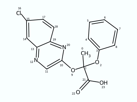 CC(Oc1ccccc1)(Oc1cnc2cc(Cl)ccc2n1)C(=O)O